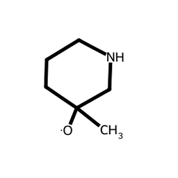 CC1([O])CCCNC1